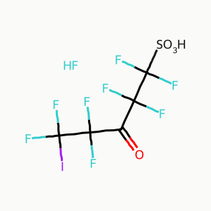 F.O=C(C(F)(F)C(F)(F)I)C(F)(F)C(F)(F)S(=O)(=O)O